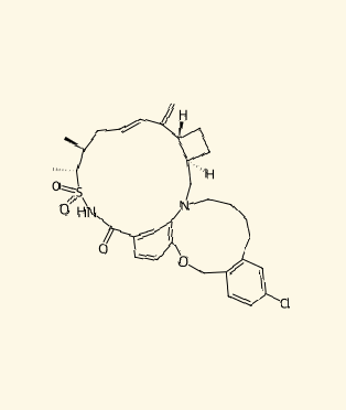 C=C1/C=C/C[C@H](C)[C@@H](C)S(=O)(=O)NC(=O)c2ccc3c(c2)N(CCCCc2cc(Cl)ccc2CO3)C[C@@H]2CC[C@@H]12